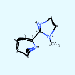 CN1CCN=C1c1ccccn1